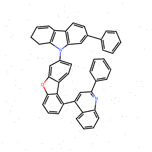 C1=Cc2c(n(-c3ccc4c(c3)oc3cccc(-c5cc(-c6ccccc6)nc6ccccc56)c34)c3cc(-c4ccccc4)ccc23)CC1